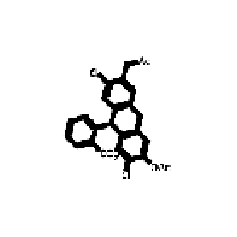 CC(=O)Cc1cc2c(cc1Cl)C(c1ccccc1C(=O)O)c1cc(Cl)c(OC(C)=O)cc1C2